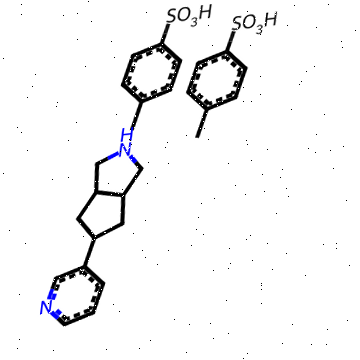 Cc1ccc(S(=O)(=O)O)cc1.Cc1ccc(S(=O)(=O)O)cc1.c1cncc(C2CC3CNCC3C2)c1